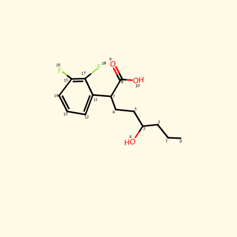 CCCC(O)CCC(C(=O)O)c1cccc(F)c1F